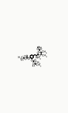 CCC(C)(C)OC(=O)Oc1ccc(C[C@H](N)C(=O)O[C@@H](C)C(C)OC(=O)OC(C)(C)C)cc1OC(=O)OC(C)(C)CC